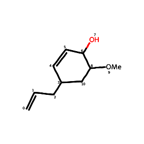 C=CCC1C=CC(O)C(OC)C1